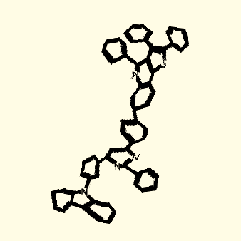 c1ccc(-c2nc(-c3ccc(-c4ccc5c(c4)nc(-c4ccccc4)c4c(-c6ccccc6)c(-c6ccccc6)sc45)cc3)cc(-c3cccc(-n4c5ccccc5c5ccccc54)c3)n2)cc1